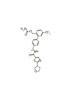 C[C@@H](NC(=O)c1cnc(C2CCOC2)s1)c1ccc(-c2cc(C(F)(F)F)ccc2COC(N)=O)cc1